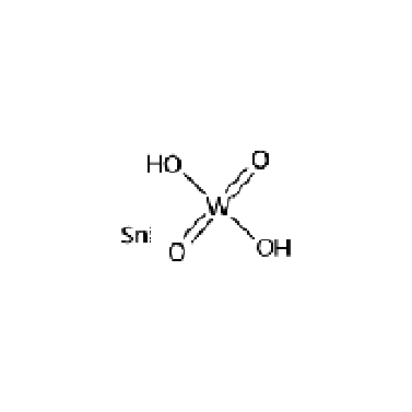 [O]=[W](=[O])([OH])[OH].[Sn]